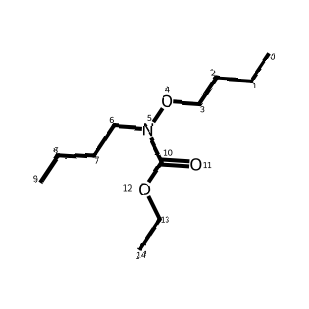 CCCCON(CCCC)C(=O)OCC